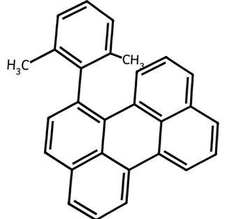 Cc1cccc(C)c1-c1ccc2cccc3c4cccc5cccc(c1c23)c54